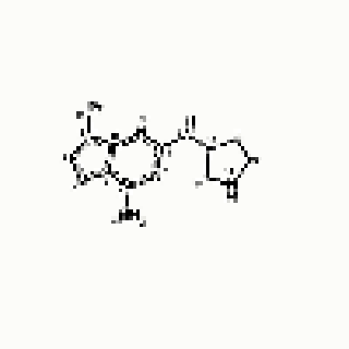 CC(C)n1cnc2c(N)nc(NC3CCNC3)nc21